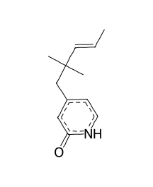 CC=CC(C)(C)Cc1cc[nH]c(=O)c1